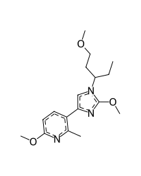 CCC(CCOC)n1cc(-c2ccc(OC)nc2C)nc1OC